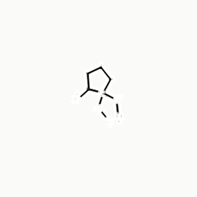 CCO[Si]1(OCC)CCCC1S